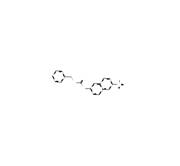 O=C(Nc1ccc2cc(S(=O)(=O)Cl)ccc2c1)OCc1ccccc1